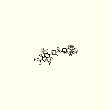 C=P(O)(O)C(Cc1ccc(OC(=O)N2CCN(c3c(F)c(N)c4c(=O)c(C(=O)O)cn(C5CC5)c4c3OC)CC2C)cc1)P(=O)(O)O